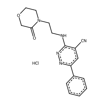 Cl.N#Cc1cc(-c2ccccc2)nnc1NCCN1CCOCC1=O